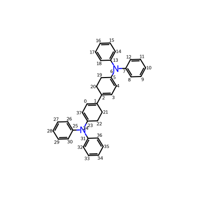 C1=C(C2=CC=C(N(c3ccccc3)c3ccccc3)CC2)CCC(N(c2ccccc2)c2ccccc2)=C1